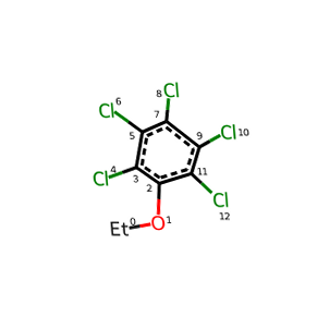 [CH2]COc1c(Cl)c(Cl)c(Cl)c(Cl)c1Cl